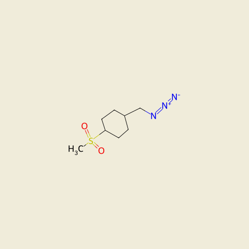 CS(=O)(=O)C1CCC(CN=[N+]=[N-])CC1